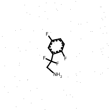 NCC(F)(F)c1cc(F)ccc1F